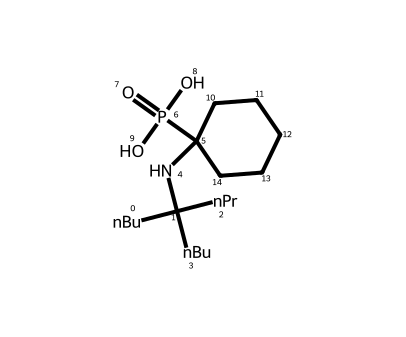 CCCCC(CCC)(CCCC)NC1(P(=O)(O)O)CCCCC1